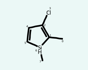 CC1=C(Cl)C=C[SiH]1C